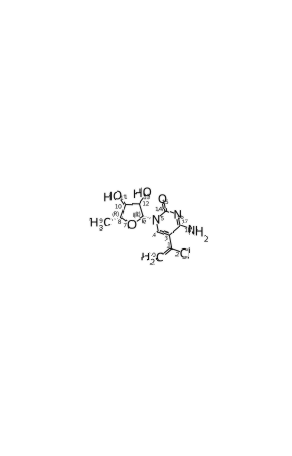 C=C(Cl)c1cn([C@@H]2O[C@H](C)C(O)C2O)c(=O)nc1N